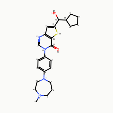 CN1CCCN(c2ccc(-n3cnc4cc(C(O)C5CCCC5)sc4c3=O)cc2)CC1